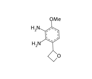 COc1ccc(C2CCO2)c(N)c1N